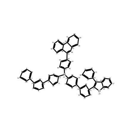 c1ccc(-c2cccc(-c3ccc(N(c4ccc(-c5cccc(-c6oc7ccccc7c6-c6ccccc6)c5)cc4)c4ccc(-c5cc6ccccc6c6ccccc56)cc4)cc3)c2)cc1